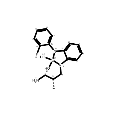 C[C@H](CN)CN1c2ccccc2N(c2ccccc2F)S1(O)O